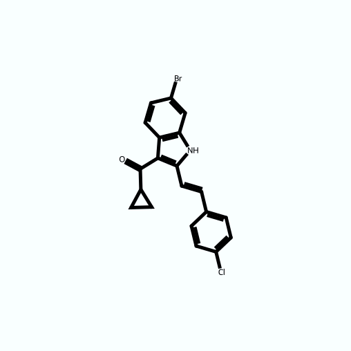 O=C(c1c(C=Cc2ccc(Cl)cc2)[nH]c2cc(Br)ccc12)C1CC1